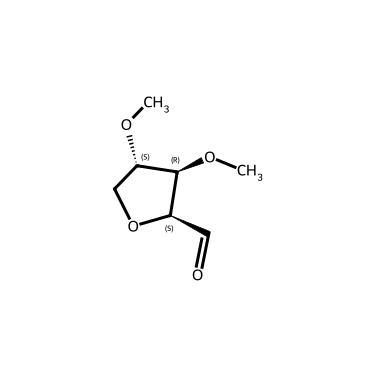 CO[C@@H]1[C@@H](OC)CO[C@@H]1C=O